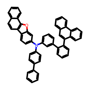 c1ccc(-c2ccc(N(c3cccc(-c4ccccc4-c4cc5ccccc5c5ccccc45)c3)c3ccc4c(c3)oc3c5ccccc5ccc43)cc2)cc1